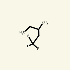 [CH2]C(CC)CC(F)(F)F